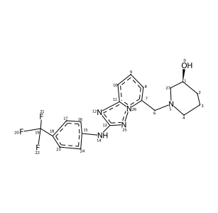 O[C@H]1CCCN(Cc2cccc3nc(Nc4ccc(C(F)(F)F)cc4)nn23)C1